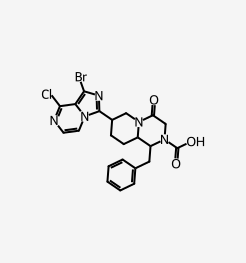 O=C(O)N1CC(=O)N2CC(c3nc(Br)c4c(Cl)nccn34)CCC2C1Cc1ccccc1